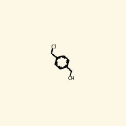 N#CCc1ccc(CCl)cc1